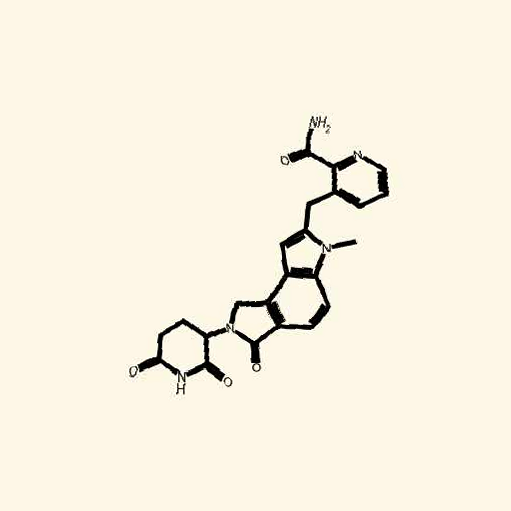 Cn1c(Cc2cccnc2C(N)=O)cc2c3c(ccc21)C(=O)N(C1CCC(=O)NC1=O)C3